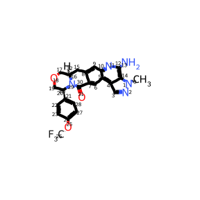 Cn1ncc2c3cc4c(cc3nc(N)c21)C[C@@H]1COC[C@H](c2ccc(OC(F)(F)F)cc2)N1C4=O